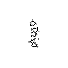 Cc1nc(-c2ccccn2)ncc1OC(=O)Nn1ccc2cccnc21